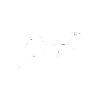 CNC(=O)C(C)(C)c1cc(C)ccn1